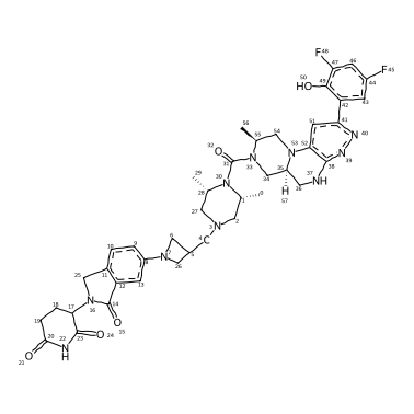 C[C@@H]1CN(CC2CN(c3ccc4c(c3)C(=O)N(C3CCC(=O)NC3=O)C4)C2)C[C@H](C)N1C(=O)N1C[C@@H]2CNc3nnc(-c4cc(F)cc(F)c4O)cc3N2C[C@@H]1C